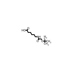 CC(C)(C)OCC(=O)NCCCCCC(=O)O